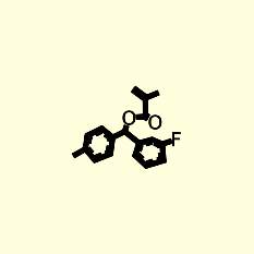 C=C(C)C(=O)OC(c1ccc(C)cc1)c1cccc(F)c1